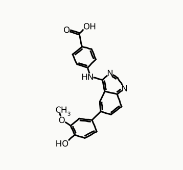 COc1cc(-c2ccc3ncnc(Nc4ccc(C(=O)O)cc4)c3c2)ccc1O